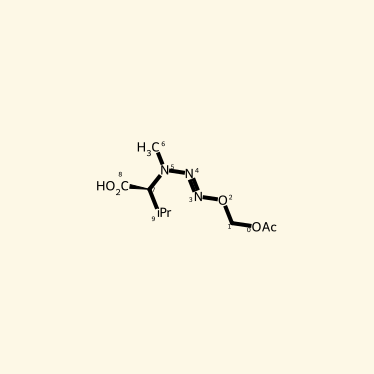 CC(=O)OCON=NN(C)[C@H](C(=O)O)C(C)C